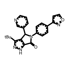 CC(C)(C)c1n[nH]c2c1C(c1cccnc1)N(c1ccc(-c3ccon3)cc1)C2=O